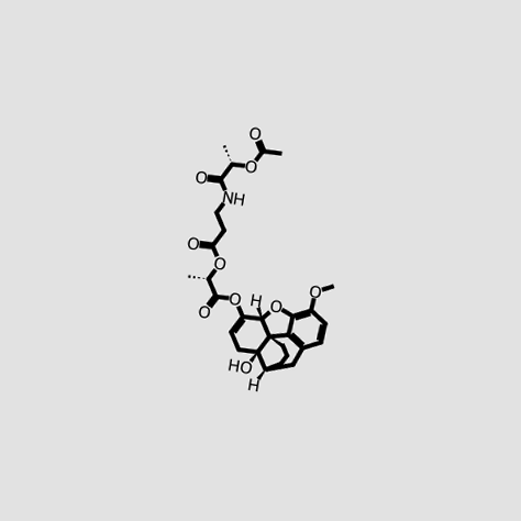 COc1ccc2c3c1O[C@H]1C(OC(=O)[C@H](C)OC(=O)CCNC(=O)[C@H](C)OC(C)=O)=CC[C@@]4(O)[C@H](CCC[C@]314)C2